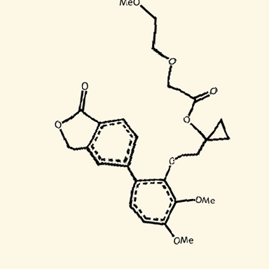 COCCOCC(=O)OC1(COc2c(-c3ccc4c(c3)COC4=O)ccc(OC)c2OC)CC1